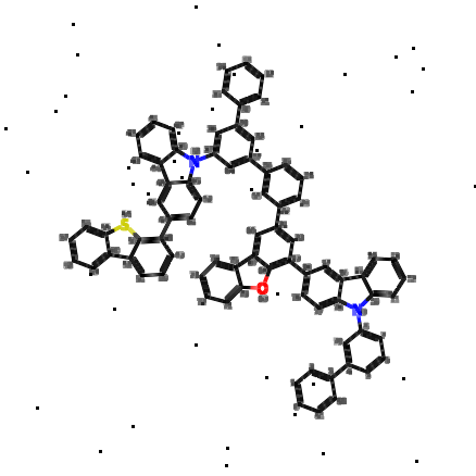 c1ccc(-c2cccc(-n3c4ccccc4c4cc(-c5cc(-c6cccc(-c7cc(-c8ccccc8)cc(-n8c9ccccc9c9cc(-c%10cccc%11c%10sc%10ccccc%10%11)ccc98)c7)c6)cc6c5oc5ccccc56)ccc43)c2)cc1